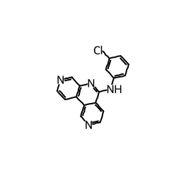 Clc1cccc(Nc2nc3cnccc3c3cnccc23)c1